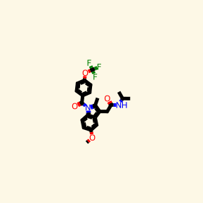 COc1ccc2c(c1)c(CC(=O)NC(C)C)c(C)n2C(=O)c1ccc(OC(F)(F)F)cc1